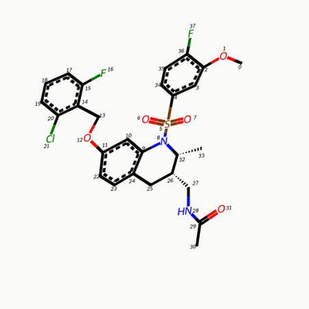 COc1cc(S(=O)(=O)N2c3cc(OCc4c(F)cccc4Cl)ccc3C[C@@H](CNC(C)=O)[C@H]2C)ccc1F